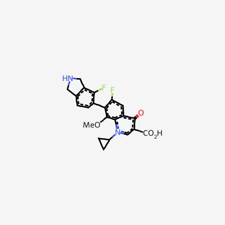 COc1c(-c2ccc3c(c2F)CNC3)c(F)cc2c(=O)c(C(=O)O)cn(C3CC3)c12